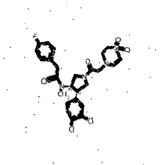 CN(C(=O)Cc1ccc(F)cc1)[C@H]1CN(C(=O)CN2CCS(=O)(=O)CC2)C[C@@H]1c1ccc(Cl)c(Cl)c1